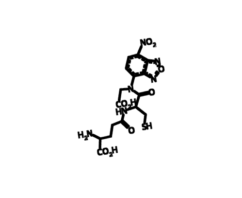 NC(CCC(=O)NC(CS)C(=O)N(CC(=O)O)c1ccc([N+](=O)[O-])c2nonc12)C(=O)O